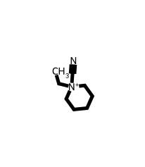 CC[N+]1(C#N)CCCCC1